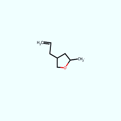 [CH2]C1CC(CC=C)CO1